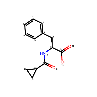 O=C(N[C@@H](Cc1ccccc1)C(=O)O)C1CC1